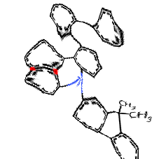 CC1(C)c2ccccc2-c2ccc(N(c3ccccc3)c3cccc(-c4ccccc4-c4ccccc4)c3-c3ccccc3)cc21